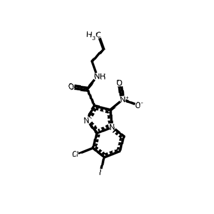 CCCNC(=O)c1nc2c(Cl)c(I)ccn2c1[N+](=O)[O-]